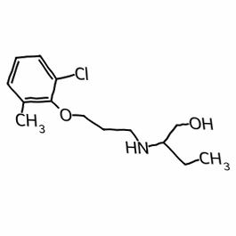 CCC(CO)NCCCOc1c(C)cccc1Cl